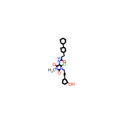 Cn1c(=O)c(NC(=O)CCc2ccc(-c3ccccc3)cc2)c(Cl)n(CC#Cc2cccc(O)c2)c1=O